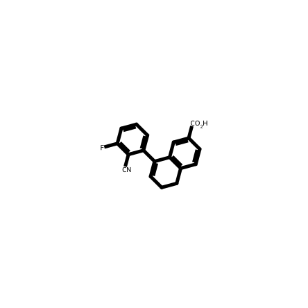 N#Cc1c(F)cccc1C1=CCCc2ccc(C(=O)O)cc21